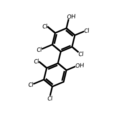 Oc1cc(Cl)c(Cl)c(Cl)c1-c1c(Cl)c(Cl)c(O)c(Cl)c1Cl